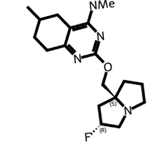 CNc1nc(OC[C@@]23CCCN2C[C@H](F)C3)nc2c1CC(C)CC2